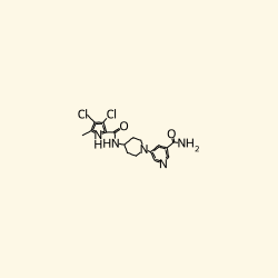 Cc1[nH]c(C(=O)NC2CCN(c3cncc(C(N)=O)c3)CC2)c(Cl)c1Cl